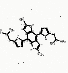 CCCCC(CC)Cc1ccc(-c2c3cc(C(C)(C)C)sc3c(-c3ccc(CC(CC)CCCC)s3)c3cc(C(C)(C)C)sc23)s1